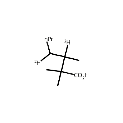 [2H]C(CCC)C([2H])(C)C(C)(C)C(=O)O